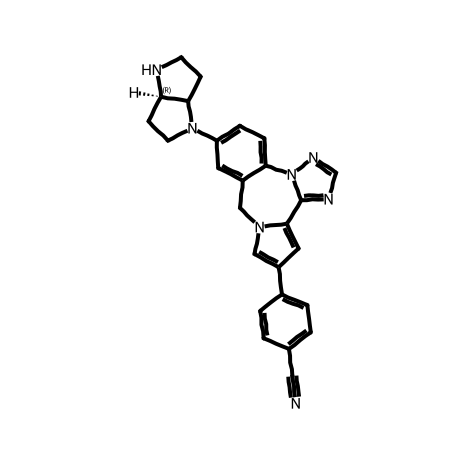 N#Cc1ccc(-c2cc3n(c2)Cc2cc(N4CC[C@H]5NCCC54)ccc2-n2ncnc2-3)cc1